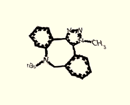 CCCCN1Cc2ccccc2-c2c(nnn2C)-c2ccccc21